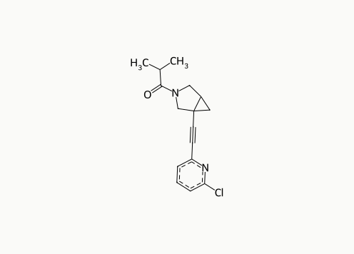 CC(C)C(=O)N1CC2CC2(C#Cc2cccc(Cl)n2)C1